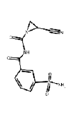 N#CC1CN1C(=O)NC(=O)c1cccc(S(N)(=O)=O)c1